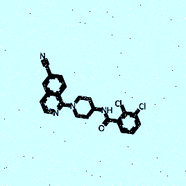 N#Cc1ccc2c(N3CCC(NC(=O)c4cccc(Cl)c4Cl)CC3)nccc2c1